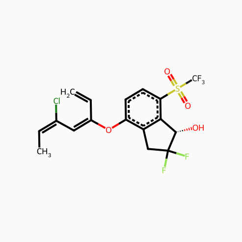 C=C/C(=C\C(Cl)=C/C)Oc1ccc(S(=O)(=O)C(F)(F)F)c2c1CC(F)(F)[C@H]2O